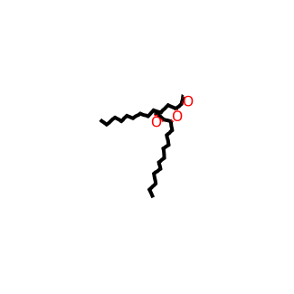 CCCCCCCCCCCC(OC(CCCCCCCCCCC)C1CO1)C1CO1